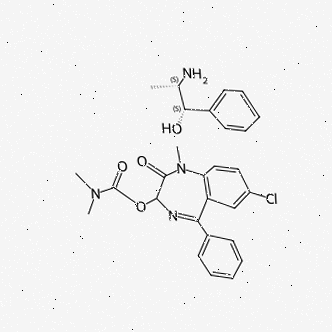 CN(C)C(=O)OC1N=C(c2ccccc2)c2cc(Cl)ccc2N(C)C1=O.C[C@H](N)[C@@H](O)c1ccccc1